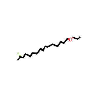 CCCOCCCCCCCCCCCCCCC(C)F